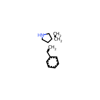 C1CCNC1.C=C.C=Cc1ccccc1